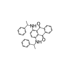 CC(Nc1ccc(NC(C)c2ccccc2)c2c1C(=O)c1ccccc1C2=O)c1ccccc1